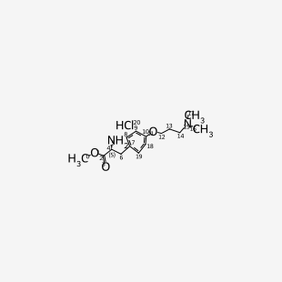 COC(=O)[C@@H](N)Cc1ccc(OCCCN(C)C)cc1.Cl